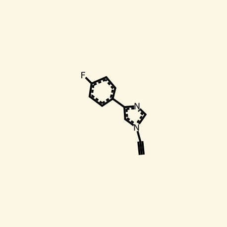 C#Cn1cnc(-c2ccc(F)cc2)c1